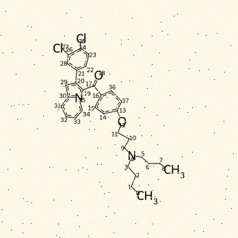 CCCCN(CCCC)CCCOc1ccc(C(=O)c2c(-c3ccc(Cl)c(Cl)c3)cc3ccccn23)cc1